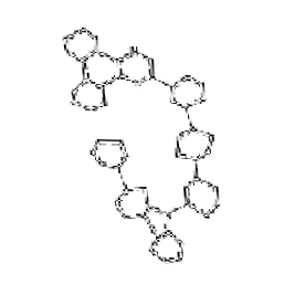 c1ccc(-c2ccc3c4ccccc4n(-c4cccc(-c5ccc(-c6cccc(-c7cnc8c9ccccc9c9ccccc9c8n7)c6)cc5)c4)c3c2)cc1